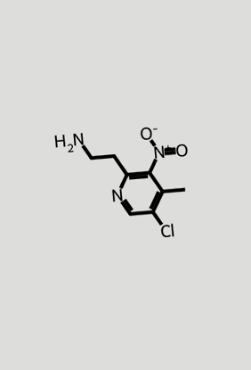 Cc1c(Cl)cnc(CCN)c1[N+](=O)[O-]